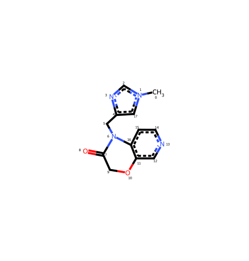 Cn1cnc(CN2C(=O)COc3cnccc32)c1